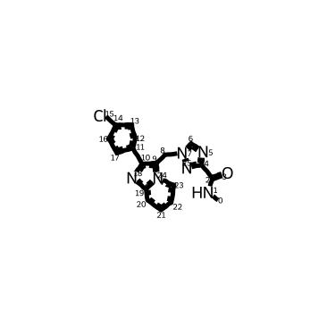 CNC(=O)c1ncn(Cc2c(-c3ccc(Cl)cc3)nc3ccccn23)n1